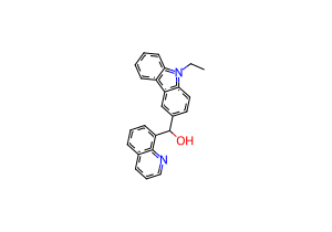 CCn1c2ccccc2c2cc(C(O)c3cccc4cccnc34)ccc21